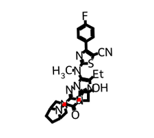 CCc1nc2sc(N3CC4CCC(C3)N4CC(=O)N3CC(O)C3)nn2c1N(C)c1nc(-c2ccc(F)cc2)c(C#N)s1